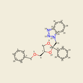 c1ccc(COC[C@H]2CO[C@](Cn3nnc4ccccc43)(c3ccccc3)O2)cc1